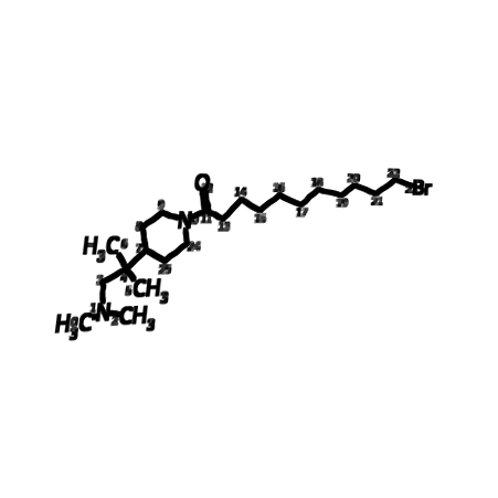 CN(C)CC(C)(C)C1CCN(C(=O)CCCCCCCCCCBr)CC1